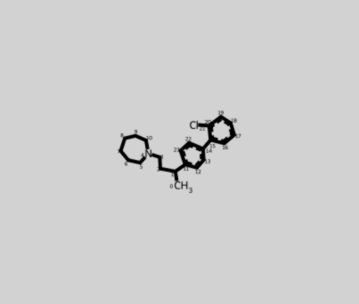 CC(CCN1CCCCCC1)c1ccc(-c2ccccc2Cl)cc1